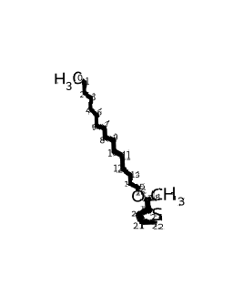 CCCCCCCCCCCCCCCCOC(C)c1cccs1